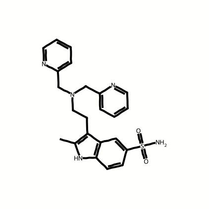 Cc1[nH]c2ccc(S(N)(=O)=O)cc2c1CCN(Cc1ccccn1)Cc1ccccn1